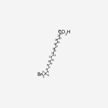 CC(C)(CBr)CCCCCCCCCCCCCCCCCCCC(=O)O